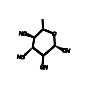 CC1O[C@H](O)C(O)[C@H](O)[C@H]1O